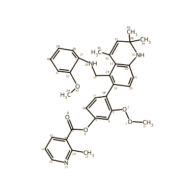 COOc1cc(OC(=O)c2cccnc2C)ccc1-c1ccc2c(c1CNc1ccccc1OC)C(C)=CC(C)(C)N2